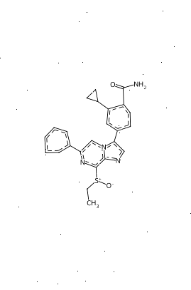 CC[S+]([O-])c1nc(-c2ccccc2)cn2c(-c3ccc(C(N)=O)c(C4CC4)c3)cnc12